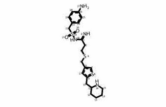 N=C(CCSCc1csc(CC2CCCCN2)c1)NS(=O)(=O)Cc1ccc(N)cc1